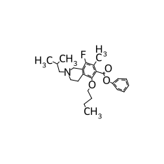 CCCCOc1c2c(c(F)c(C)c1C(=O)Oc1ccccc1)CN(CC(C)C)CC2